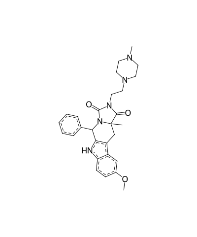 COc1ccc2[nH]c3c(c2c1)CC1(C)C(=O)N(CCN2CCN(C)CC2)C(=O)N1C3c1ccccc1